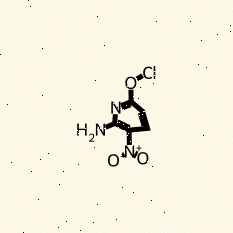 Nc1nc(OCl)ccc1[N+](=O)[O-]